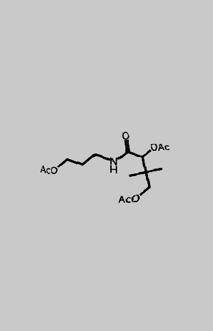 CC(=O)OCCCNC(=O)C(OC(C)=O)C(C)(C)COC(C)=O